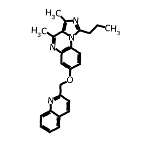 CCCc1nc(C)c2c(C)nc3cc(OCc4ccc5ccccc5n4)ccc3n12